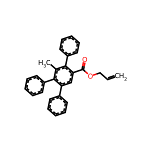 C=CCOC(=O)c1cc(-c2ccccc2)c(-c2ccccc2)c(C)c1-c1ccccc1